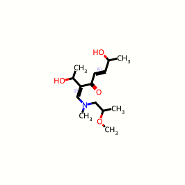 COC(C)CN(C)/C=C(\C(=O)/C=C/C(C)O)C(C)O